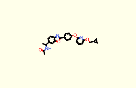 CC(=O)NC(C)c1ccc2nc(-c3ccc(Oc4cccc(OCC5CC5)n4)cc3)oc2c1